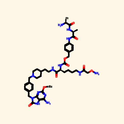 CCCCOc1nc(N)c2[nH]c(=O)n(Cc3ccc(CN4CCC(CCNC(=O)[C@H](CCCCNC(=O)CON)NC(=O)OCc5ccc(NC(=O)[C@H](C)NC(=O)[C@@H](N)C(C)C)cc5)CC4)cc3)c2n1